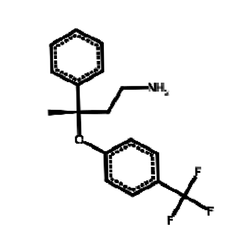 C[C@@](CCN)(Oc1ccc(C(F)(F)F)cc1)c1ccccc1